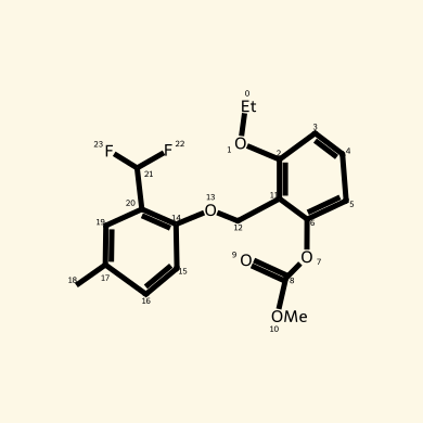 CCOc1cccc(OC(=O)OC)c1COc1ccc(C)cc1C(F)F